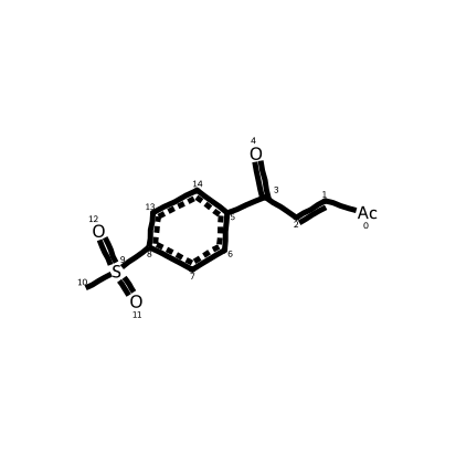 CC(=O)C=CC(=O)c1ccc(S(C)(=O)=O)cc1